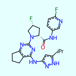 CC(C)c1cc(Nc2nc(N3C[C@H](F)C[C@@H]3C(=O)Nc3ccc(F)nc3)nc3c2CCC3)n[nH]1